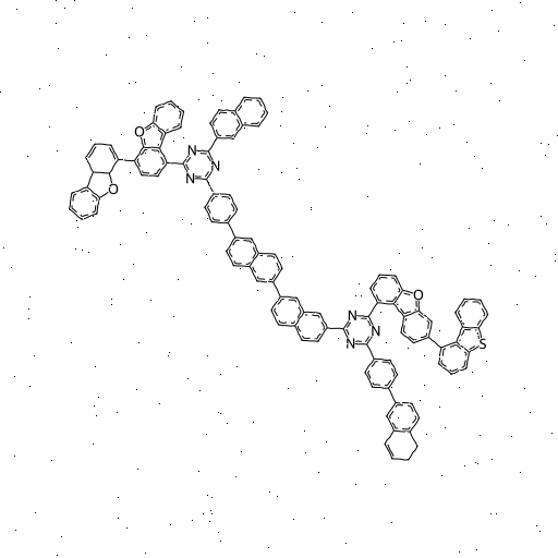 C1=CC2c3ccccc3OC2C(c2ccc(-c3nc(-c4ccc(-c5ccc6cc(-c7ccc8ccc(-c9nc(-c%10ccc(-c%11ccc%12c(c%11)C=CCC%12)cc%10)nc(-c%10cccc%11oc%12cc(-c%13cccc%14sc%15ccccc%15c%13%14)ccc%12c%10%11)n9)cc8c7)ccc6c5)cc4)nc(-c4ccc5ccccc5c4)n3)c3c2oc2ccccc23)=C1